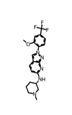 COc1cc(C(F)(F)F)ccc1-n1cc2ccc(N[C@@H]3CCCN(C)C3)nc2n1